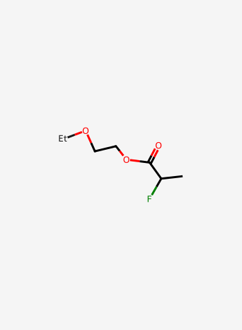 [CH2]COCCOC(=O)C(C)F